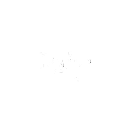 CC(C)(C#N)C(=O)N1C[C@@H]2C[C@H]1c1cncc(C#N)c1S2